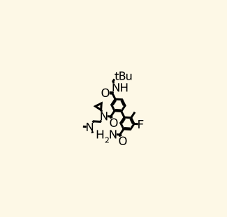 Cc1c(F)cc(C(N)=O)cc1-c1ccc(C(=O)NCC(C)(C)C)cc1C(=O)N(CCN(C)C)C1CC1